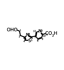 O=CCCc1csc(-c2ccc(C(=O)O)nc2)n1